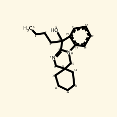 CCCCC1(O)C2=NCC3(CCCCC3)CN2c2ccccc21